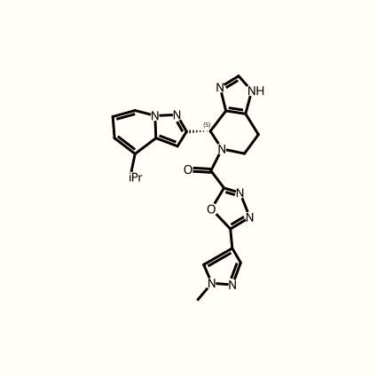 CC(C)c1cccn2nc([C@@H]3c4nc[nH]c4CCN3C(=O)c3nnc(-c4cnn(C)c4)o3)cc12